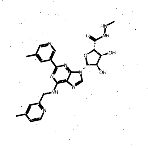 CNNC(=O)[C@H]1O[C@@H](n2cnc3c(NCc4cc(C)ccn4)nc(-c4cncc(C)c4)nc32)[C@H](O)[C@@H]1O